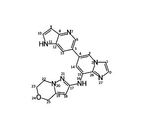 c1cn2cc(-c3cnc4cc[nH]c4c3)cc(Nc3cc4n(n3)CCOC4)c2n1